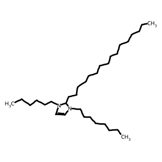 CCCCCCCCCCCCCCCCC1N(CCCCCC)C=CN1CCCCCCCC